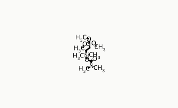 CO[Si](CC[Si](C)(C)OC(=O)N(C)C)(OC)OC